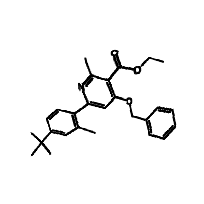 CCOC(=O)c1c(OCc2ccccc2)cc(-c2ccc(C(C)(C)C)cc2C)nc1C